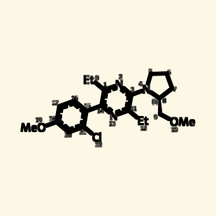 CCc1nc(N2CCC[C@H]2COC)c(CC)nc1-c1ccc(OC)cc1Cl